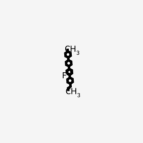 CCCC1CCC(c2ccc(C3CCC(C4CCC(C)CC4)CC3)cc2F)CC1